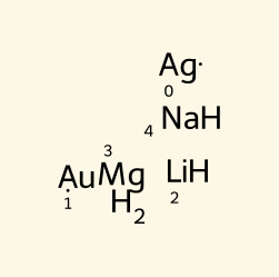 [Ag].[Au].[LiH].[MgH2].[NaH]